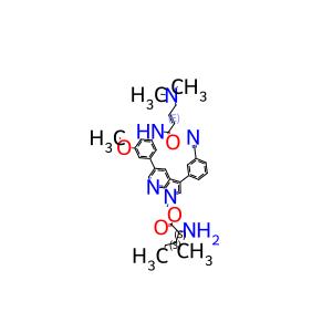 CC[C@H](C)[C@H](N)C(=O)OCn1cc(-c2cccc(C#N)c2)c2cc(-c3cc(NC(=O)/C=C/CN(C)C)cc(OC)c3)cnc21